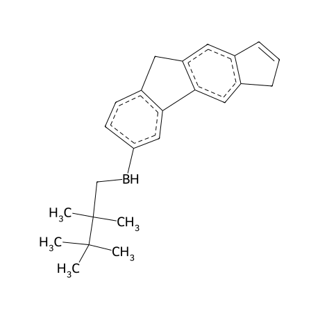 CC(C)(C)C(C)(C)CBc1ccc2c(c1)-c1cc3c(cc1C2)C=CC3